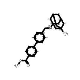 COC(=O)c1ccc(-c2ccc(CNC34CC5CC(CC(C)(C5)C3)C4)cc2)cc1